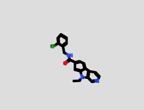 CCn1c2cnccc2c2ccc(C(=O)NCc3ccccc3Cl)cc21